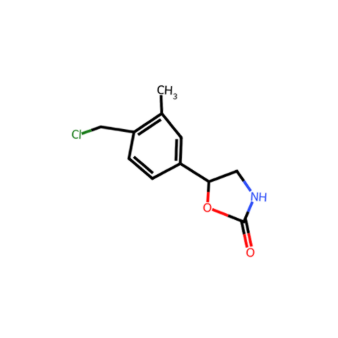 Cc1cc(C2CNC(=O)O2)ccc1CCl